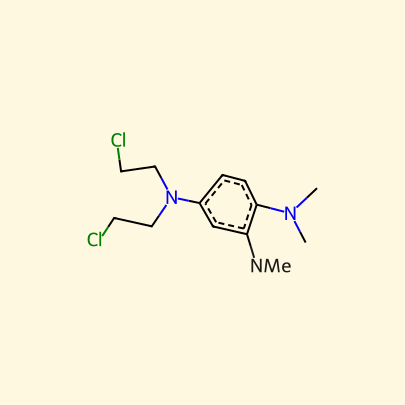 CNc1cc(N(CCCl)CCCl)ccc1N(C)C